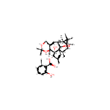 CC1=C[C@]23C(O)[C@@H](C=C4COC(C)(C)O[C@H]4[C@]2(O)[C@H]1OC(=O)c1c(C)cccc1O)[C@H]1[C@@H](C[C@H]3C)C1(C)C